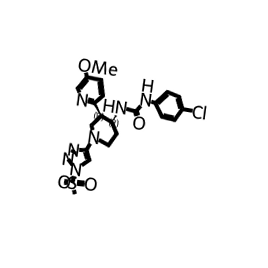 COc1ccc([C@@H]2CN(c3cn(S(C)(=O)=O)nn3)CC[C@H]2NC(=O)Nc2ccc(Cl)cc2)nc1